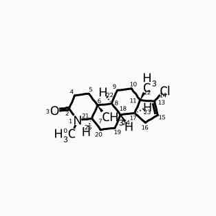 CN1C(=O)CC[C@]2(C)[C@H]3CC[C@]4(C)C(Cl)=CC[C@H]4[C@@H]3CC[C@@H]12